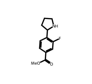 COC(=O)c1ccc(C2CCCN2)c(F)c1